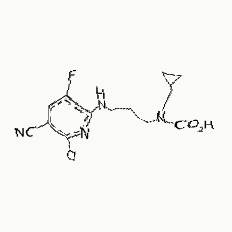 N#Cc1cc(F)c(NCCCN(C(=O)O)C2CC2)nc1Cl